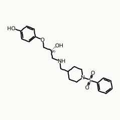 O=S(=O)(c1ccccc1)N1CCC(CNC[C@@H](O)COc2ccc(O)cc2)CC1